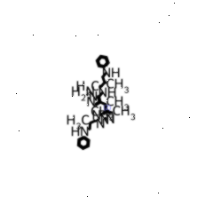 C=C(Nc1c(/C(C)=c2/c(C)nn3nc(C(C)CNc4ccccc4)nc23)c(C)nn1N)C(C)CNc1ccccc1